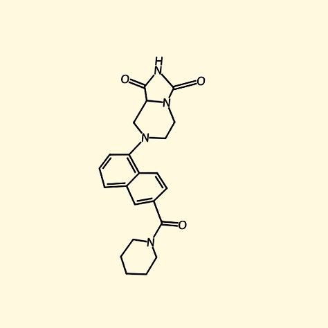 O=C1NC(=O)N2CCN(c3cccc4cc(C(=O)N5CCCCC5)ccc34)CC12